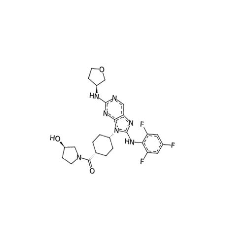 O=C([C@H]1CC[C@@H](n2c(Nc3c(F)cc(F)cc3F)nc3cnc(N[C@H]4CCOC4)nc32)CC1)N1CC[C@@H](O)C1